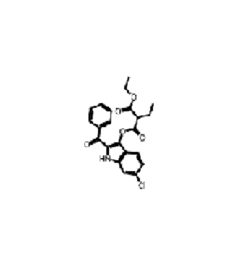 CCOC(=O)C(CC)C(=O)Oc1c(C(=O)c2ccccc2)[nH]c2cc(Cl)ccc12